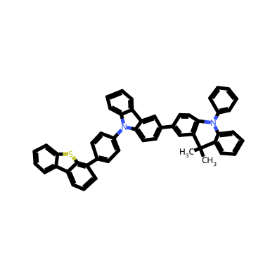 CC1(C)c2ccccc2N(c2ccccc2)c2ccc(-c3ccc4c(c3)c3ccccc3n4-c3ccc(-c4cccc5c4sc4ccccc45)cc3)cc21